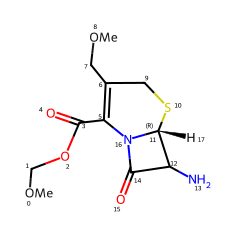 COCOC(=O)C1=C(COC)CS[C@@H]2C(N)C(=O)N12